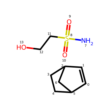 C1=CC2CCC1C2.NS(=O)(=O)CCO